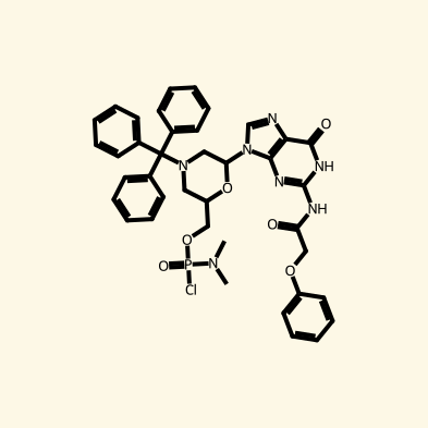 CN(C)P(=O)(Cl)OCC1CN(C(c2ccccc2)(c2ccccc2)c2ccccc2)CC(n2cnc3c(=O)[nH]c(NC(=O)COc4ccccc4)nc32)O1